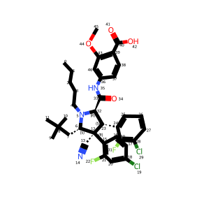 CCCCCN1[C@@H](CC(C)(C)C)[C@](C#N)(c2ccc(Cl)cc2F)[C@@H](c2cccc(Cl)c2F)[C@@H]1C(=O)Nc1ccc(C(=O)O)c(OC)c1